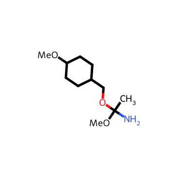 COC1CCC(COC(C)(N)OC)CC1